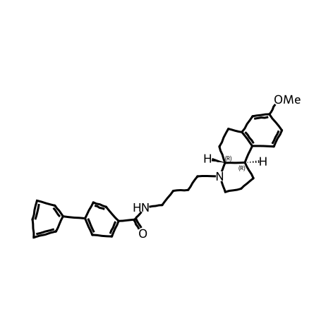 COc1ccc2c(c1)CC[C@@H]1[C@@H]2CCCN1CCCCNC(=O)c1ccc(-c2ccccc2)cc1